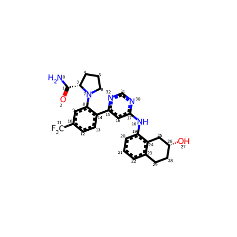 NC(=O)[C@@H]1CCCN1c1cc(C(F)(F)F)ccc1-c1cc(Nc2cccc3c2C[C@H](O)CC3)ncn1